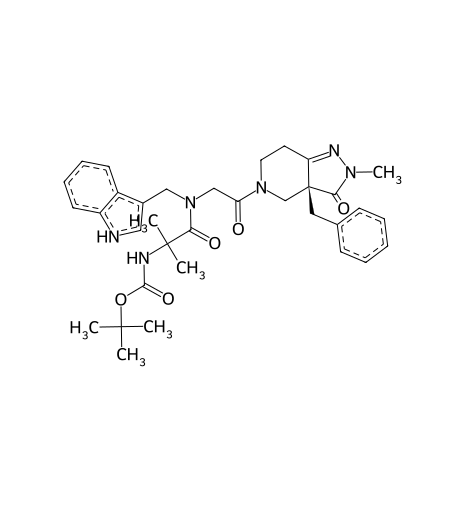 CN1N=C2CCN(C(=O)CN(Cc3c[nH]c4ccccc34)C(=O)C(C)(C)NC(=O)OC(C)(C)C)C[C@@]2(Cc2ccccc2)C1=O